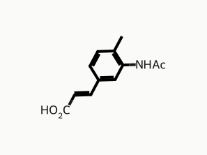 CC(=O)Nc1cc(/C=C/C(=O)O)ccc1C